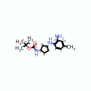 Cc1ccc(N[C@@H]2CC[C@@H](NC(=O)OC(C)(C)C)C2)c(N)c1